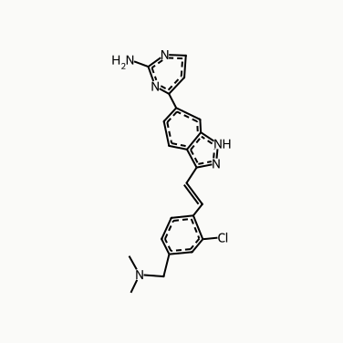 CN(C)Cc1ccc(C=Cc2n[nH]c3cc(-c4ccnc(N)n4)ccc23)c(Cl)c1